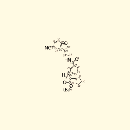 CC(C)(C)OC(=O)C(N)C1(c2ccc(C(=O)NCCC3COc4ccc(C#N)cc43)cc2)CCCC1